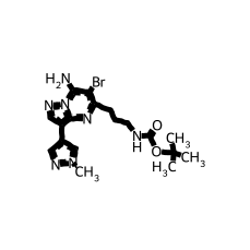 Cn1cc(-c2cnn3c(N)c(Br)c(CCCNC(=O)OC(C)(C)C)nc23)cn1